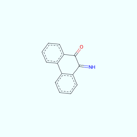 N=C1C(=O)c2ccccc2-c2ccccc21